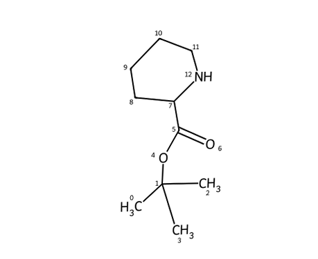 CC(C)(C)OC(=O)C1CCCCN1